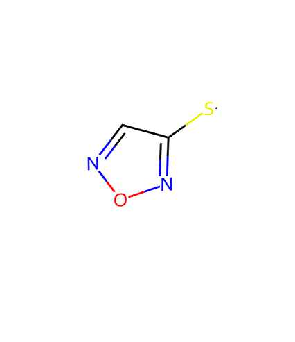 [S]c1cnon1